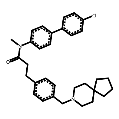 CN(C(=O)CCc1ccc(CN2CCC3(CCCC3)CC2)cc1)c1ccc(-c2ccc(Cl)cc2)cc1